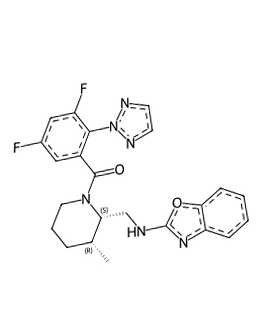 C[C@@H]1CCCN(C(=O)c2cc(F)cc(F)c2-n2nccn2)[C@@H]1CNc1nc2ccccc2o1